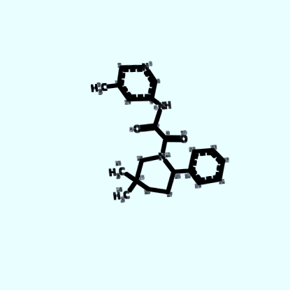 Cc1cncc(NC(=O)C(=O)N2CC(C)(C)CCC2c2ccccc2)c1